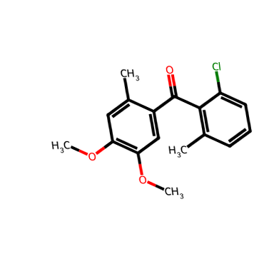 COc1cc(C)c(C(=O)c2c(C)cccc2Cl)cc1OC